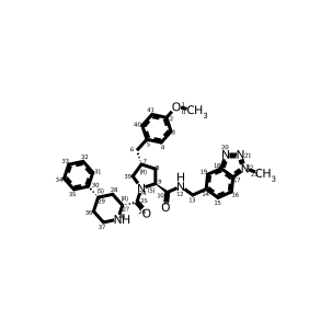 COc1ccc(C[C@@H]2C[C@@H](C(=O)NCc3ccc4c(c3)nnn4C)N(C(=O)[C@H]3C[C@@H](c4ccccc4)CCN3)C2)cc1